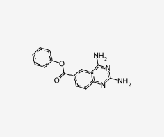 Nc1nc(N)c2cc(C(=O)Oc3ccccc3)ccc2n1